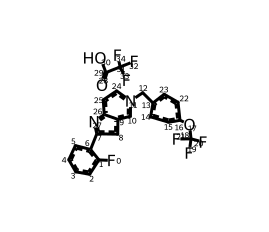 Fc1ccccc1-c1cc2cn(Cc3ccc(OC(F)(F)F)cc3)ccc-2n1.O=C(O)C(F)(F)F